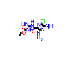 CCOC(=O)NC(=N)NC(=O)c1nc(Cl)c(NC)nc1N